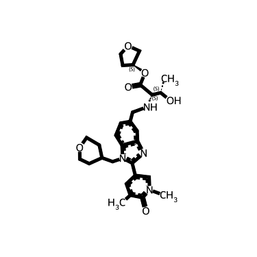 Cc1cc(-c2nc3cc(CN[C@H](C(=O)O[C@H]4CCOC4)[C@H](C)O)ccc3n2CC2CCOCC2)cn(C)c1=O